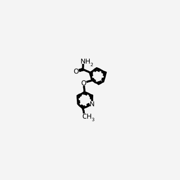 Cc1ccc(Oc2ccccc2C(N)=O)cn1